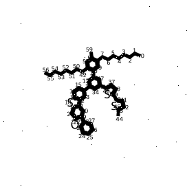 CCCCCCCCc1cc(-c2cc(-c3ccc4sc5cc6oc7ccccc7c6cc5c4c3)cc(-c3ccc(-c4ccc(C)s4)s3)c2)c(CCCCCCCC)cc1C